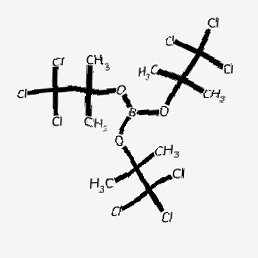 CC(C)(OB(OC(C)(C)C(Cl)(Cl)Cl)OC(C)(C)C(Cl)(Cl)Cl)C(Cl)(Cl)Cl